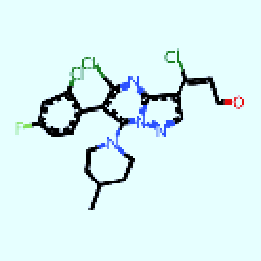 CC1CCN(c2c(-c3ccc(F)cc3Cl)c(Cl)nc3c(/C(Cl)=C\C=O)cnn23)CC1